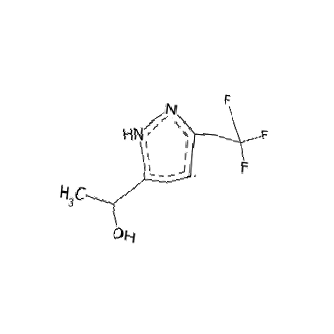 CC(O)c1[c]c(C(F)(F)F)n[nH]1